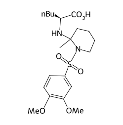 CCCC[C@H](NC1(C)CCCCN1S(=O)(=O)c1ccc(OC)c(OC)c1)C(=O)O